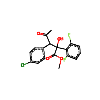 COC(=O)C(O)(c1c(F)cccc1F)C(C(C)=O)c1ccc(Cl)cc1